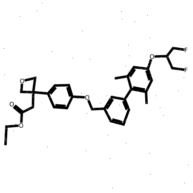 CCOC(=O)CC1(c2ccc(OCc3cccc(-c4c(C)cc(OC(CF)CF)cc4C)c3)cc2)COC1